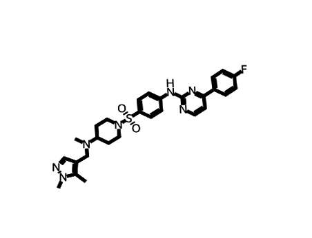 Cc1c(CN(C)C2CCN(S(=O)(=O)c3ccc(Nc4nccc(-c5ccc(F)cc5)n4)cc3)CC2)cnn1C